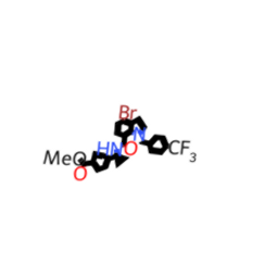 COC(=O)c1ccc(C2(NC(=O)c3ccc(Br)c4ccn(Cc5ccc(C(F)(F)F)cc5)c34)CC2)cc1